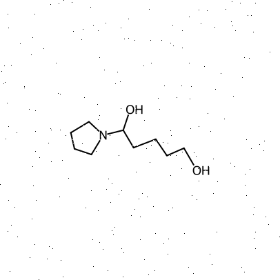 OCCCCC(O)N1CCCC1